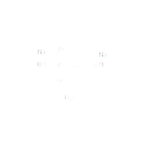 O=P([O-])([O-])O.OCCO.[Na+].[Na+]